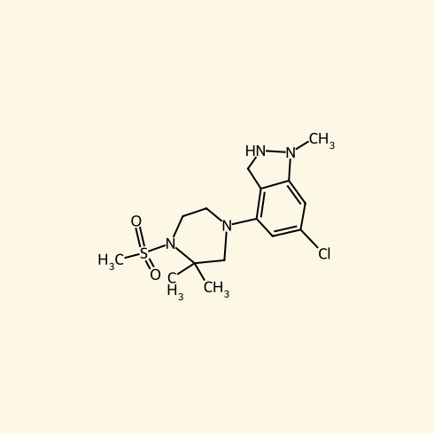 CN1NCc2c(N3CCN(S(C)(=O)=O)C(C)(C)C3)cc(Cl)cc21